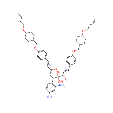 C=CCCOC1CCC(COc2ccc(/C=C/C(=O)CC(c3ccc(N)cc3N)C(O)(O)C(=O)/C=C/c3ccc(OCC4CCC(OCCC=C)CC4)cc3)cc2)CC1